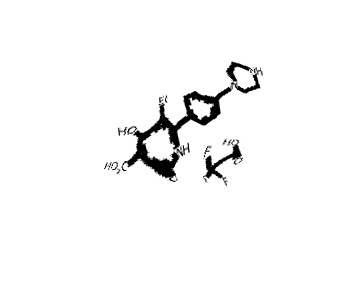 CCc1c(-c2ccc(N3CCNCC3)cc2)[nH]c(=O)c(C(=O)O)c1O.O=C(O)C(F)(F)F